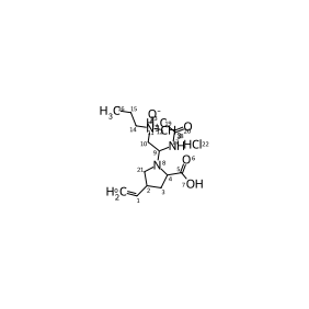 C=CC1CC(C(=O)O)N(C(C[N+](C)([O-])CCC)NC(C)=O)C1.Cl